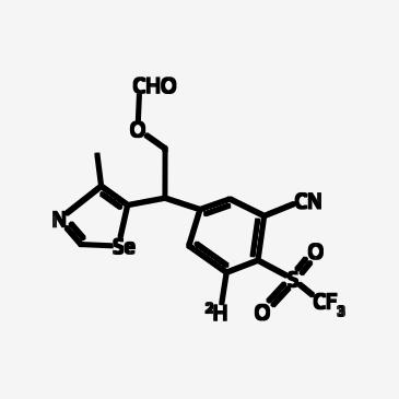 [2H]c1cc(C(COC=O)c2[se]cnc2C)cc(C#N)c1S(=O)(=O)C(F)(F)F